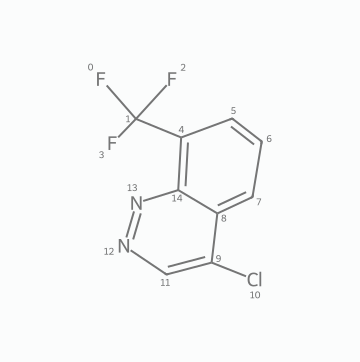 FC(F)(F)c1cccc2c(Cl)cnnc12